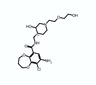 Nc1cc(C(=O)NC[C@@H]2CCN(CCOCCO)CC2O)c2c(c1Cl)OCCCO2